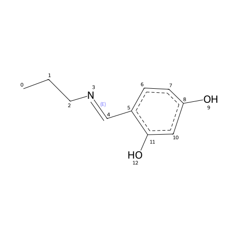 CCC/N=C/c1ccc(O)cc1O